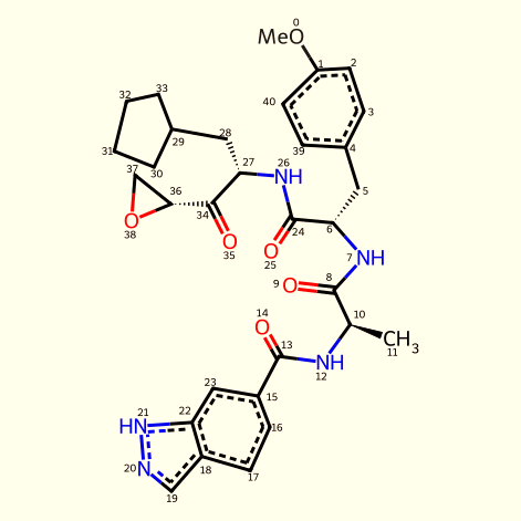 COc1ccc(C[C@H](NC(=O)[C@@H](C)NC(=O)c2ccc3cn[nH]c3c2)C(=O)N[C@@H](CC2CCCC2)C(=O)[C@H]2CO2)cc1